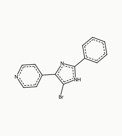 Brc1[nH]c(-c2ccccc2)nc1-c1ccncc1